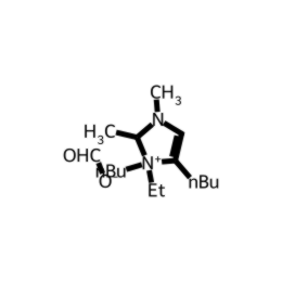 CCCCC1=CN(C)C(C)[N+]1(CC)CCCC.O=C[O-]